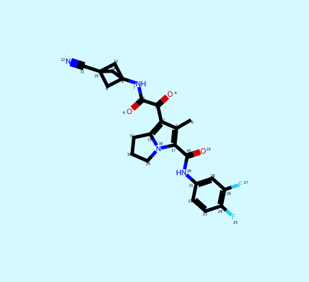 Cc1c(C(=O)C(=O)NC23CC(C#N)(C2)C3)c2n(c1C(=O)Nc1ccc(F)c(F)c1)CCC2